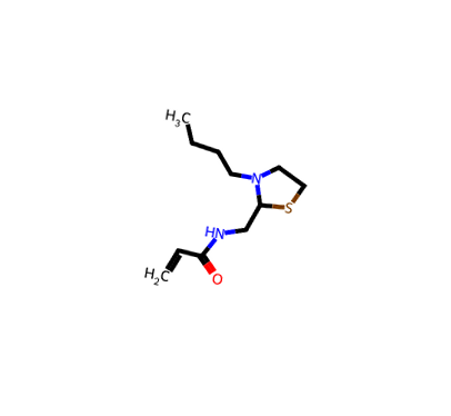 C=CC(=O)NCC1SCCN1CCCC